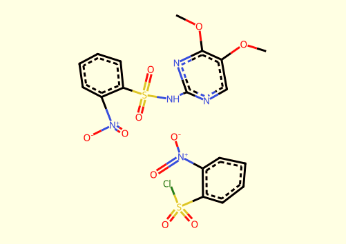 COc1cnc(NS(=O)(=O)c2ccccc2[N+](=O)[O-])nc1OC.O=[N+]([O-])c1ccccc1S(=O)(=O)Cl